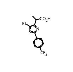 CCc1sc(-c2ccc(C(F)(F)F)cc2)nc1C(C)C(=O)O